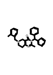 Cc1ccccc1CN1CCc2nc(C)n(C(c3ccccc3)c3ccccc3)c(=O)c2C1